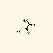 CC(=O)C(=O)OS